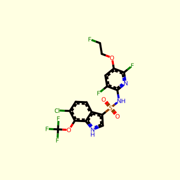 O=S(=O)(Nc1nc(F)c(OCCF)cc1F)c1c[nH]c2c(OC(F)(F)F)c(Cl)ccc12